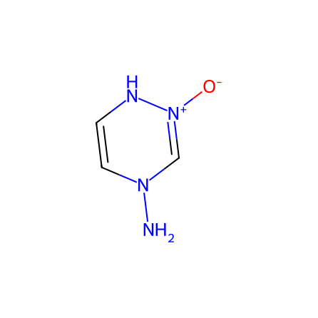 NN1C=CN[N+]([O-])=C1